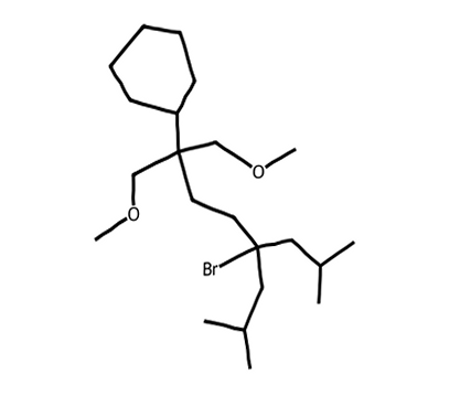 COCC(CCC(Br)(CC(C)C)CC(C)C)(COC)C1CCCCC1